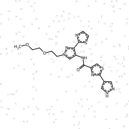 COCCOCCn1cc(NC(=O)c2csc(-c3cn[nH]c3)n2)c(-c2nccs2)n1